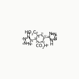 O=C(O)c1cc(-c2nnn[nH]2)c(C(=O)O)cc1-c1nnn[nH]1